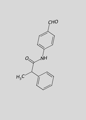 CC(C(=O)Nc1ccc(C=O)cc1)c1ccccc1